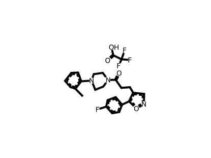 Cc1ccccc1N1CCN(C(=O)CCc2cnoc2-c2ccc(F)cc2)CC1.O=C(O)C(F)(F)F